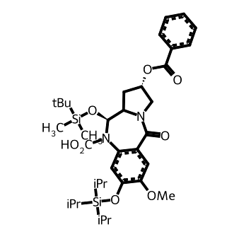 COc1cc2c(cc1O[Si](C(C)C)(C(C)C)C(C)C)N(C(=O)O)[C@@H](O[Si](C)(C)C(C)(C)C)C1C[C@H](OC(=O)c3ccccc3)CN1C2=O